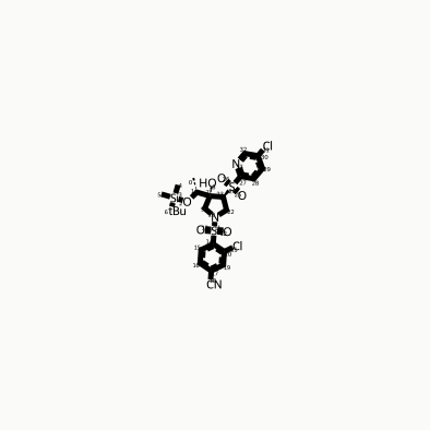 C[C@@H](O[Si](C)(C)C(C)(C)C)[C@]1(O)CN(S(=O)(=O)c2ccc(C#N)cc2Cl)C[C@@H]1S(=O)(=O)c1ccc(Cl)cn1